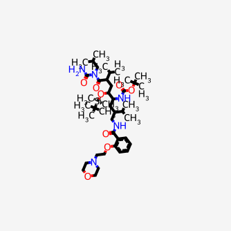 CC(C)CN(C(N)=O)C(=O)C(CC(O[Si](C)(C)C(C)(C)C)C(CC(CNC(=O)c1ccccc1OCCN1CCOCC1)C(C)C)NC(=O)OC(C)(C)C)C(C)C